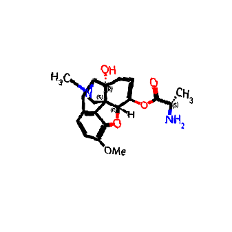 COc1ccc2c3c1O[C@H]1C(OC(=O)[C@H](C)N)=CC[C@]4(O)C(C2)N(C)CC[C@]314